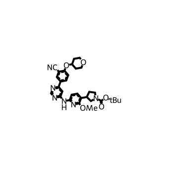 COc1nc(Nc2cc(-c3ccc(OC4CCOCC4)c(C#N)c3)ncn2)ccc1C1CCN(C(=O)OC(C)(C)C)C1